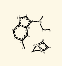 CCN(C)c1c[nH]c2ccc(C)cc12.c1cn2n1C2